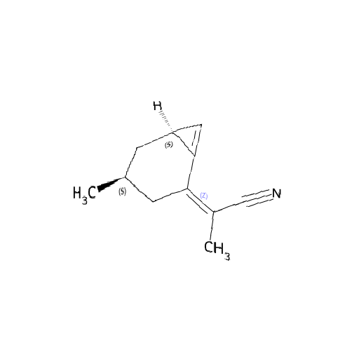 C/C(C#N)=C1\C[C@@H](C)C[C@H]2C=C12